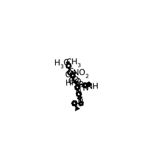 CC1(C)CCC(C2COc3cc(S(=O)(=O)NC(=O)c4ccc(N5CCC6(CC5)CC(N5CCC[C@H]5c5ccccc5C5CC5)C6)cc4Oc4cnc5[nH]ccc5c4)cc([N+](=O)[O-])c3S2)CC1